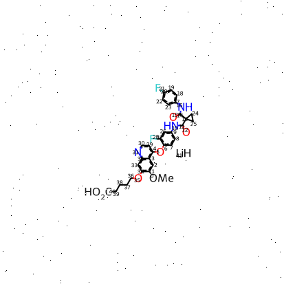 COc1cc2c(Oc3ccc(NC(=O)C4(C(=O)Nc5ccc(F)cc5)CC4)cc3F)ccnc2cc1OCCCCC(=O)O.[LiH]